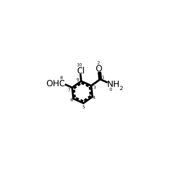 NC(=O)c1cccc(C=O)c1Cl